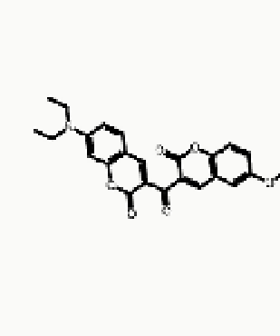 CCN(CC)c1ccc2cc(C(=O)c3cc4cc(OC)ccc4oc3=O)c(=O)oc2c1